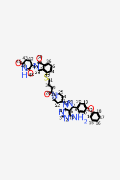 Nc1ncnc2c1c(-c1ccc(Oc3ccccc3)cc1)nn2C1CCN(C(=O)CCCSc2cccc3c2CN(C2CCC(=O)NC2=O)C3=O)CC1